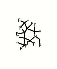 FCN1C(F)(F)C(F)(C(F)(F)F)C(F)(F)C(F)(C(F)(F)F)C1(F)F